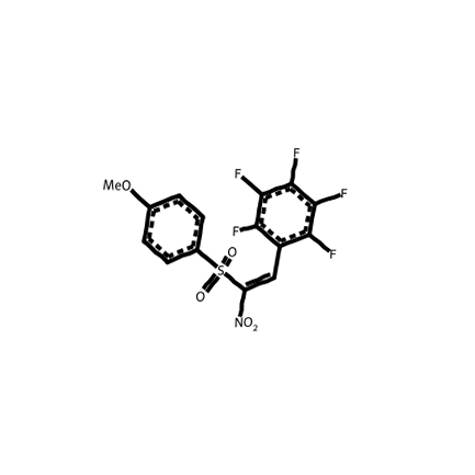 COc1ccc(S(=O)(=O)/C(=C\c2c(F)c(F)c(F)c(F)c2F)[N+](=O)[O-])cc1